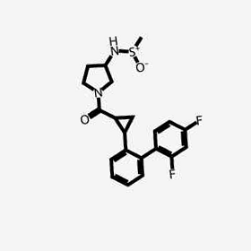 C[S+]([O-])NC1CCN(C(=O)C2CC2c2ccccc2-c2ccc(F)cc2F)C1